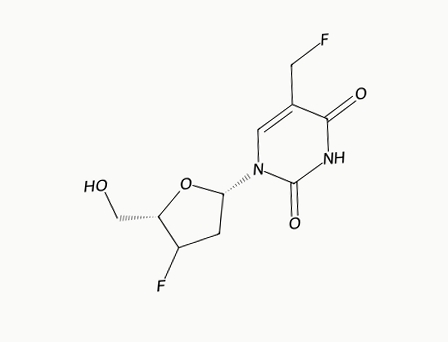 O=c1[nH]c(=O)n([C@@H]2CC(F)[C@H](CO)O2)cc1CF